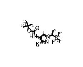 CC(n1cc(NC(=O)OC(C)(C)C)cn1)[B-](F)(F)F.[K+]